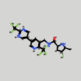 C[C@@H]1N[C@H](C(=O)NCc2cc(-c3cnc(C(F)(F)F)nc3)cnc2C(F)(F)F)C[C@H]1F